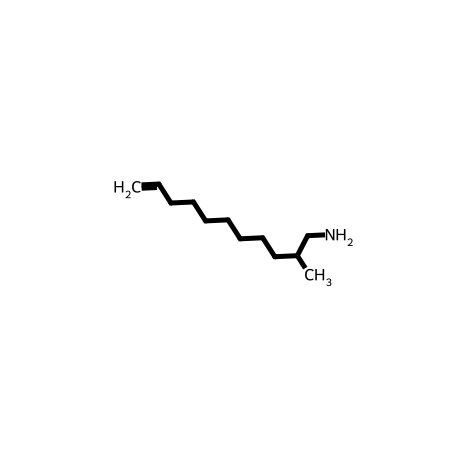 C=CCCCCCCCC(C)CN